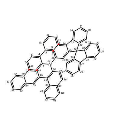 c1ccc(-c2ccccc2N(c2ccc3c(c2)C2(c4ccccc4-c4ccccc42)c2ccccc2-3)c2ccc3ccccc3c2-c2ccc3ccccc3c2)cc1